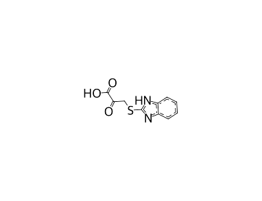 O=C(O)C(=O)CSc1nc2ccccc2[nH]1